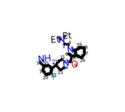 CCN(CC)CCn1cc(C(=O)N2CCC(c3cc(CN)ccc3F)CC2)c2ccccc21